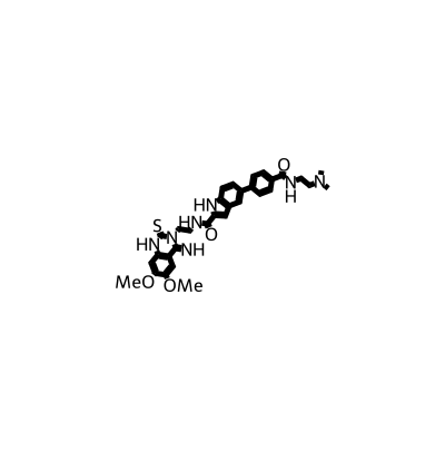 COc1cc2[nH]c(=S)n(CCNC(=O)c3cc4cc(-c5ccc(C(=O)NCCN(C)C)cc5)ccc4[nH]3)c(=N)c2cc1OC